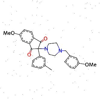 COc1cccc(CN2CCN(C3(c4cccc(C)c4)C(=O)c4ccc(OC)cc4C3=O)CC2)c1